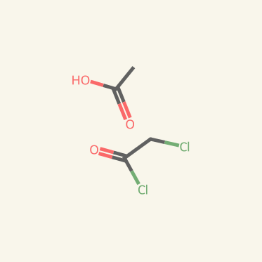 CC(=O)O.O=C(Cl)CCl